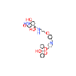 O=C(OCC1CCN(Cc2ccc(OCCCCNC[C@H](O)c3ccc(O)c4[nH]c(=O)ccc34)cc2)CC1)C(O)(c1ccccc1)c1ccccc1